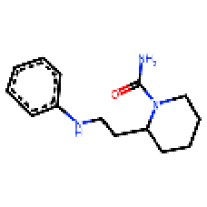 NC(=O)N1CCCCC1CCNc1ccccc1